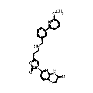 COc1cccc(-c2cccc(CNCCc3cn(-c4ccc5c(n4)NC(=O)CO5)c(=O)o3)c2)n1